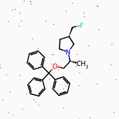 C[C@@H](COC(c1ccccc1)(c1ccccc1)c1ccccc1)N1CC[C@@H](CF)C1